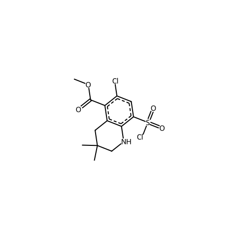 COC(=O)c1c(Cl)cc(S(=O)(=O)Cl)c2c1CC(C)(C)CN2